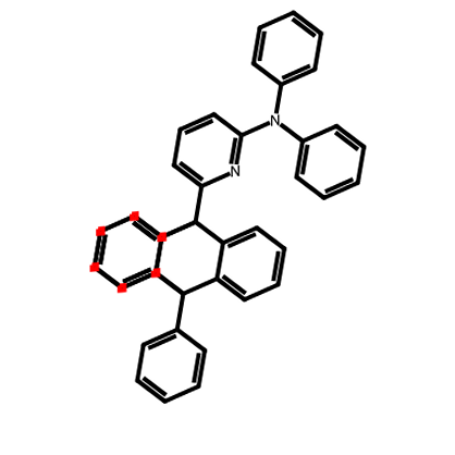 c1ccc(N(c2ccccc2)c2cccc(C34c5ccccc5C(c5ccccc5)(c5ccccc53)c3ccccc34)n2)cc1